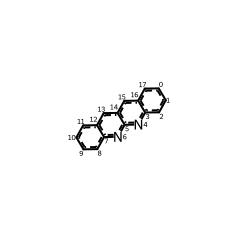 c1ccc2nc3nc4ccccc4cc3cc2c1